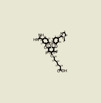 CN1CCN=C1c1cccc(Oc2nc(Oc3cc(C(=N)N)ccc3O)c(F)c(OCCCCCC(=O)O)c2F)c1